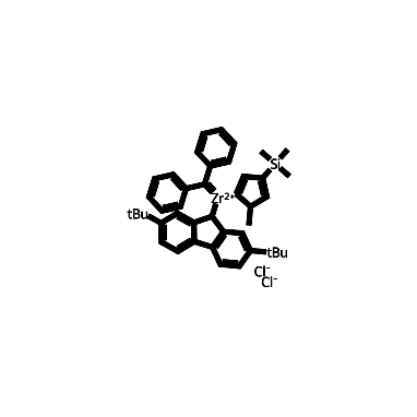 CC1C=C([Si](C)(C)C)C=[C]1[Zr+2](=[C](c1ccccc1)c1ccccc1)[CH]1c2cc(C(C)(C)C)ccc2-c2ccc(C(C)(C)C)cc21.[Cl-].[Cl-]